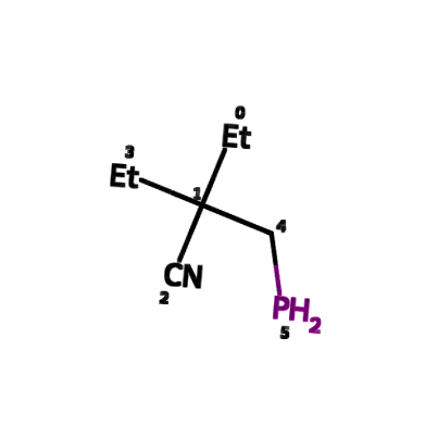 CCC(C#N)(CC)CP